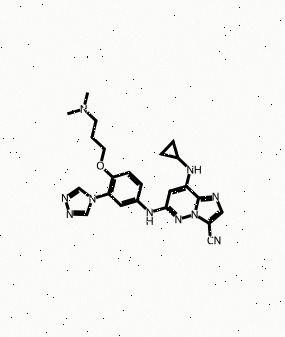 CN(C)CCCOc1ccc(Nc2cc(NC3CC3)c3ncc(C#N)n3n2)cc1-n1cnnc1